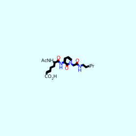 CC(=O)NC(CC/C=C/C(=O)O)C(=O)Nc1cccn(CC(=O)NCCC(C)C)c1=O